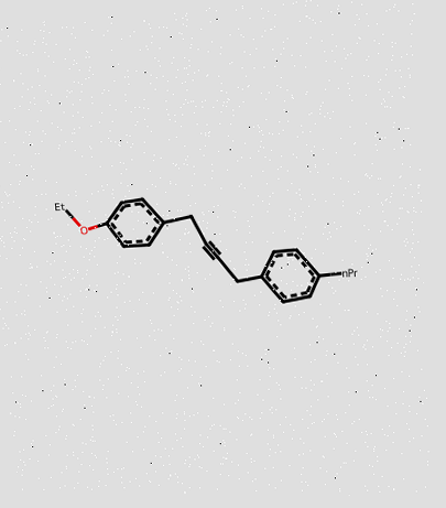 CCCc1ccc(CC#CCc2ccc(OCC)cc2)cc1